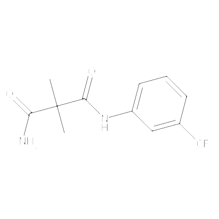 CC(C)(C(N)=O)C(=O)Nc1cccc(C(F)(F)F)c1